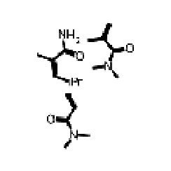 C=C(C)C(=O)N(C)C.C=CC(=O)N(C)C.CC(=CC(C)C)C(N)=O